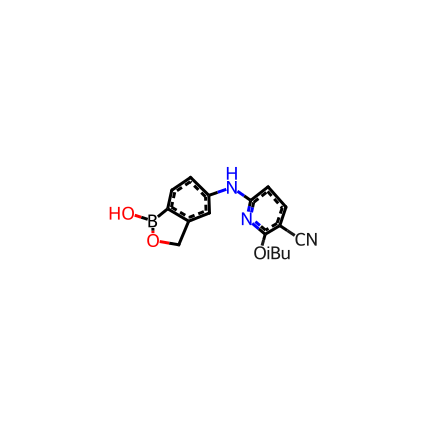 CC(C)COc1nc(Nc2ccc3c(c2)COB3O)ccc1C#N